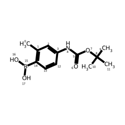 Cc1cc(NC(=O)OC(C)(C)C)ccc1B(O)O